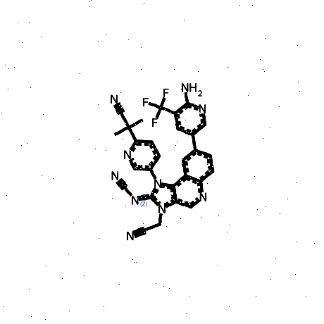 CC(C)(C#N)c1ccc(-n2/c(=N\C#N)n(CC#N)c3cnc4ccc(-c5cnc(N)c(C(F)(F)F)c5)cc4c32)cn1